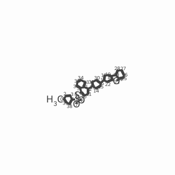 Cc1ccc(S(=O)(=O)Sc2ccc(-c3ccc(-c4ccc5c(c4)oc4ccccc45)cc3)c3ccccc23)cc1